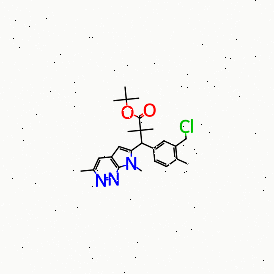 Cc1cc2cc(C(c3ccc(C)c(CCl)c3)C(C)(C)C(=O)OC(C)(C)C)n(C)c2nn1